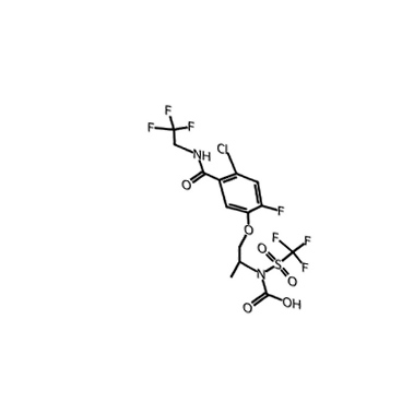 CC(COc1cc(C(=O)NCC(F)(F)F)c(Cl)cc1F)N(C(=O)O)S(=O)(=O)C(F)(F)F